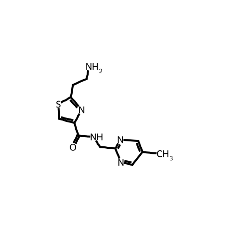 Cc1cnc(CNC(=O)c2csc(CCN)n2)nc1